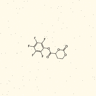 O=C1OCCC(C(=O)Oc2c(F)c(F)c(F)c(F)c2F)O1